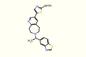 CC(=O)Nc1ncc(-c2cnc3c(c2)CCN([C@H](C)c2ccc4scnc4c2)CC3)s1